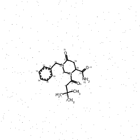 CC(C)(C)CC(=O)N1CN(Cc2ccccc2)C(=O)CC1C(N)=O